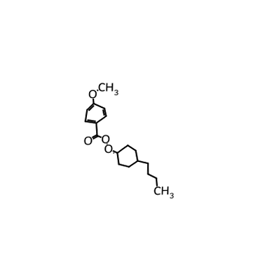 CCCCC1CC[C](OOC(=O)c2ccc(OC)cc2)CC1